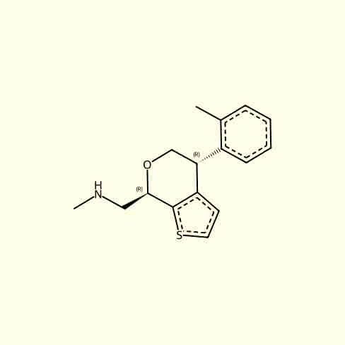 CNC[C@H]1OC[C@H](c2ccccc2C)c2ccsc21